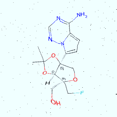 CC1(C)O[C@@H]2[C@](CO)(CF)OC[C@]2(c2ccc3c(N)ncnn23)O1